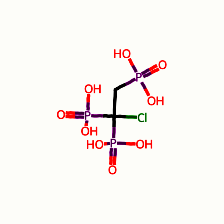 O=P(O)(O)CC(Cl)(P(=O)(O)O)P(=O)(O)O